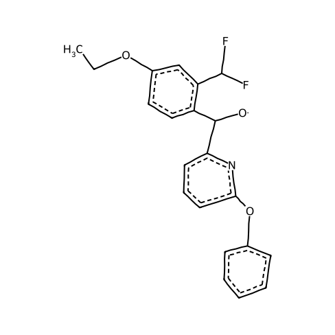 CCOc1ccc(C([O])c2cccc(Oc3ccccc3)n2)c(C(F)F)c1